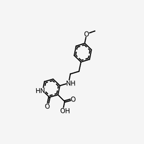 COc1ccc(CCNc2cc[nH]c(=O)c2C(=O)O)cc1